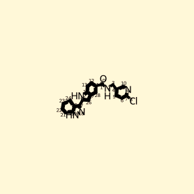 O=C(NCc1ccc(Cl)nc1)c1ccc2[nH]c(-c3n[nH]c4ccccc34)cc2c1